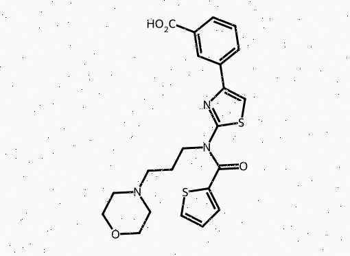 O=C(O)c1cccc(-c2csc(N(CCCN3CCOCC3)C(=O)c3cccs3)n2)c1